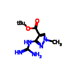 Cn1cc(C(=O)OC(C)(C)C)c(NC(=N)N)n1